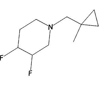 CC1(CN2CCC(F)C(F)C2)CC1